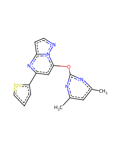 Cc1cc(C)nc(Oc2cc(-c3cccs3)nc3ccnn23)n1